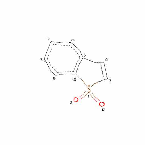 O=S1(=O)C=Cc2cc[c]cc21